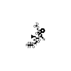 COC(=O)OCN1C(=O)[C@]2(CC(C#N)N(C(=O)[C@H](CC3CC3)N(C)C(=O)[C@H](C)NC(=O)C(F)(F)C(F)(F)F)C2)c2ccccc21